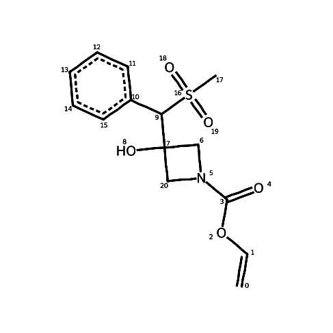 C=COC(=O)N1CC(O)(C(c2ccccc2)S(C)(=O)=O)C1